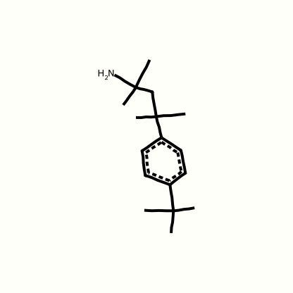 CC(C)(N)CC(C)(C)c1ccc(C(C)(C)C)cc1